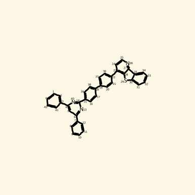 c1ccc(-c2cc(-c3ccccc3)nc(-c3ccc(-c4ccc(-c5ccnc6c5sc5ccccc56)cc4)cc3)n2)cc1